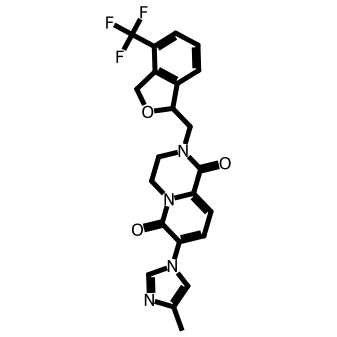 Cc1cn(-c2ccc3n(c2=O)CCN(CC2OCc4c2cccc4C(F)(F)F)C3=O)cn1